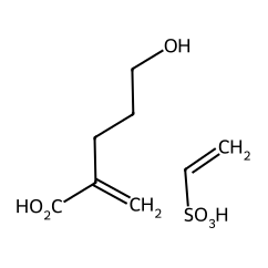 C=C(CCCO)C(=O)O.C=CS(=O)(=O)O